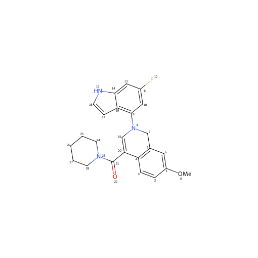 COc1ccc2c(c1)CN(c1cc(F)cc3[nH]ccc13)C=C2C(=O)N1CCCCC1